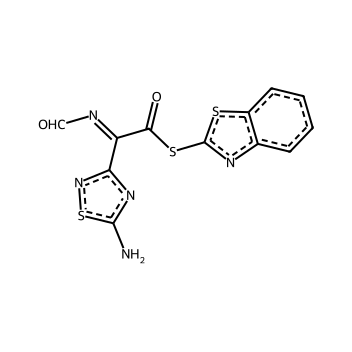 Nc1nc(/C(=N\C=O)C(=O)Sc2nc3ccccc3s2)ns1